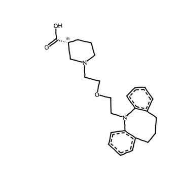 O=C(O)[C@@H]1CCCN(CCOCCN2c3ccccc3CCCc3ccccc32)C1